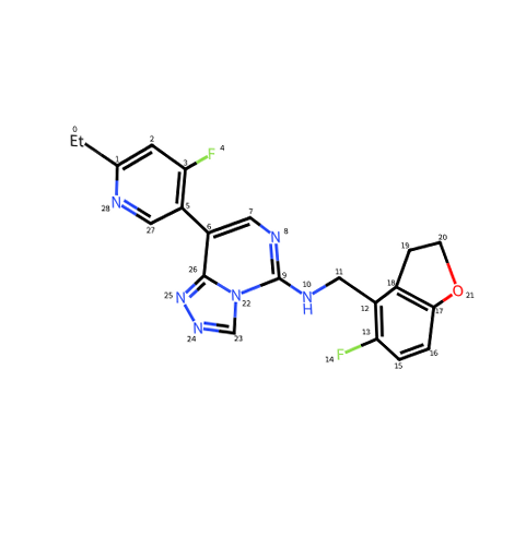 CCc1cc(F)c(-c2cnc(NCc3c(F)ccc4c3CCO4)n3cnnc23)cn1